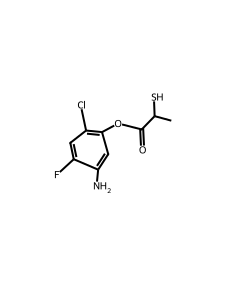 CC(S)C(=O)Oc1cc(N)c(F)cc1Cl